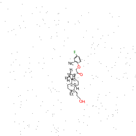 CC[C@H]1CC[C@@H]2[C@H](CC[C@@]3(C)[C@H]2[C@@H]2C[C@@H]2[C@@H]3C(=O)COc2ccc(F)cc2C#N)[C@H]1CCCO